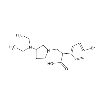 CCN(CC)C1CCN(CC(C(=O)O)c2ccc(Br)cc2)C1